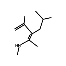 C=C(C)/C(CC(C)C)=C(/C)NC